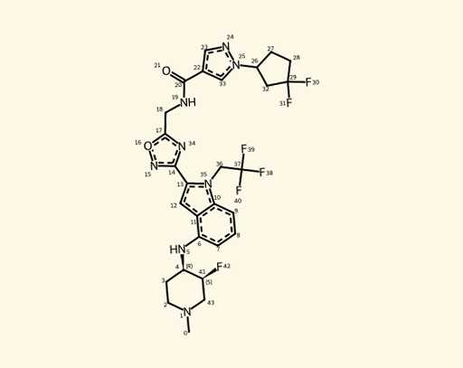 CN1CC[C@@H](Nc2cccc3c2cc(-c2noc(CNC(=O)c4cnn(C5CCC(F)(F)C5)c4)n2)n3CC(F)(F)F)[C@@H](F)C1